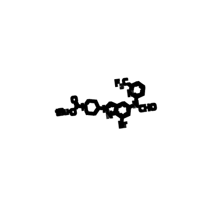 CC(C)(C)OC(=O)N1CCC(n2cc3cc(N(C=O)c4cccc(C(F)(F)F)n4)cc(Br)c3n2)CC1